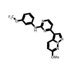 COc1ccc2c(-c3ccnc(Nc4cccc(OC(F)(F)F)c4)n3)cnn2n1